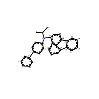 CC(C)N(c1ccc(-c2ccccc2)cc1)c1ccc2c3c(cccc13)-c1ccccc1-2